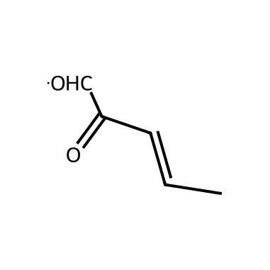 C/C=C/C(=O)[C]=O